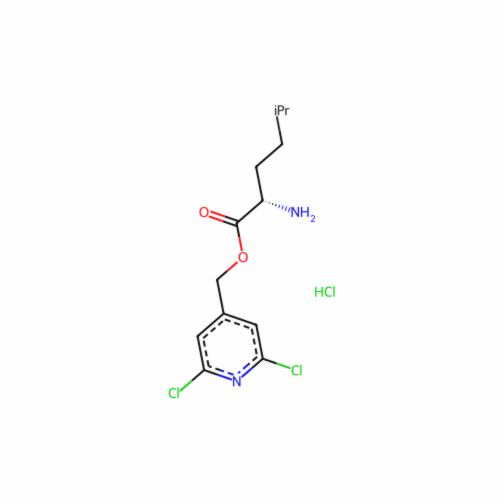 CC(C)CC[C@H](N)C(=O)OCc1cc(Cl)nc(Cl)c1.Cl